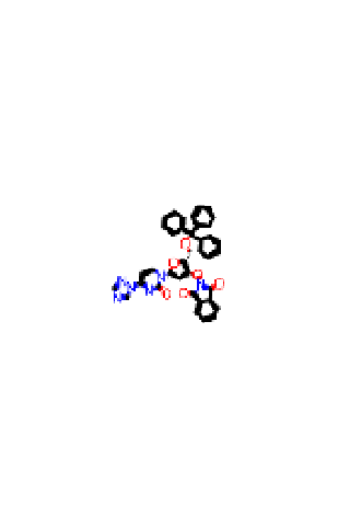 O=C1c2ccccc2C(=O)N1O[C@H]1C[C@H](n2ccc(-n3cncn3)nc2=O)O[C@@H]1COC(c1ccccc1)(c1ccccc1)c1ccccc1